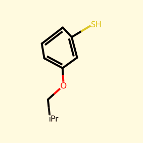 CC(C)COc1cccc(S)c1